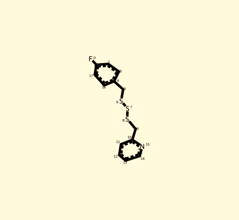 Fc1ccc(CSSSCc2ccccn2)cc1